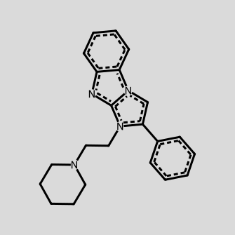 c1ccc(-c2cn3c4ccccc4nc3n2CCN2CCCCC2)cc1